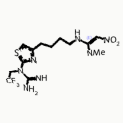 CN/C(=C\[N+](=O)[O-])NCCCCc1csc(N(CC(F)(F)F)C(=N)N)n1